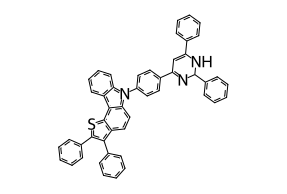 C1=C(c2ccccc2)NC(c2ccccc2)N=C1c1ccc(-n2c3ccccc3c3c4sc(-c5ccccc5)c(-c5ccccc5)c4ccc32)cc1